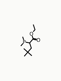 CCOC(=O)C(CC(C)(C)C)P(C)C